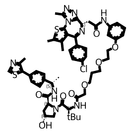 Cc1ncsc1-c1ccc([C@H](C)NC(=O)[C@@H]2C[C@@H](O)CN2C(=O)[C@@H](NC(=O)COCCCOCCOc2cccc(NC(=O)C[C@@H]3N=C(c4ccc(Cl)cc4)c4c(sc(C)c4C)-n4c(C)nnc43)c2)C(C)(C)C)cc1